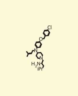 CC(C)=CCN(c1ccc(OCc2ccc(Cl)cc2)cc1)C1CCN(C[C@@H](N)CC(C)C)CC1